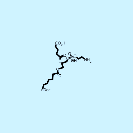 CCCCCCCCCCCCCCCC(=O)OCC(CO[P@](=O)(O)OCCN)OC(=O)CCCC(=O)O